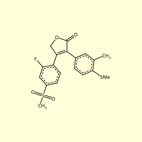 CSc1ccc(C2=C(c3ccc(S(C)(=O)=O)cc3F)COC2=O)cc1C